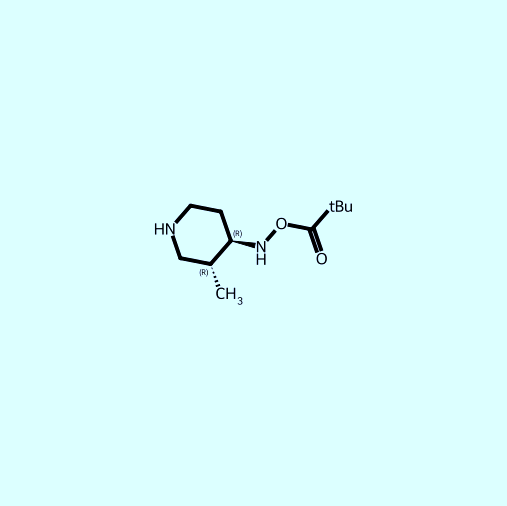 C[C@@H]1CNCC[C@H]1NOC(=O)C(C)(C)C